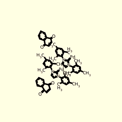 Cc1cc(C)c(-n2ccn(-c3c(C)cc(C)cc3C)[c]2=[Pd])c(C)c1.Cc1cc(C)c(-n2ccn(-c3c(C)cc(C)cc3C)[c]2=[Pd])c(C)c1.O=C1C=CC(=O)c2ccccc21.O=C1C=CC(=O)c2ccccc21